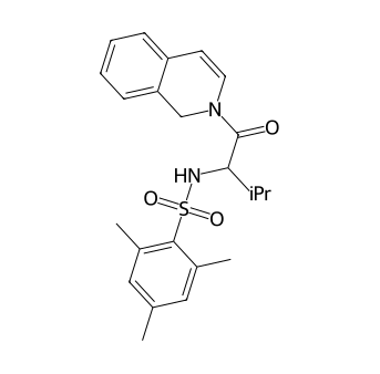 Cc1cc(C)c(S(=O)(=O)NC(C(=O)N2C=Cc3ccccc3C2)C(C)C)c(C)c1